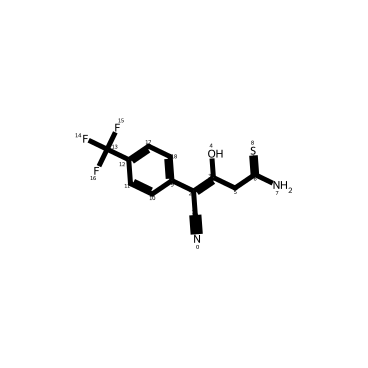 N#CC(=C(O)CC(N)=S)c1ccc(C(F)(F)F)cc1